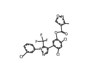 Cc1nocc1C(=O)Oc1cc(-c2cnn(-c3cccc(Cl)c3)c2C(F)(F)F)c(Cl)cc1Cl